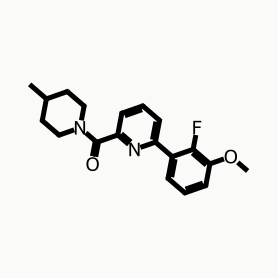 COc1cccc(-c2cccc(C(=O)N3CCC(C)CC3)n2)c1F